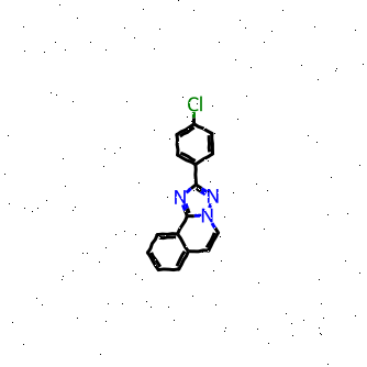 Clc1ccc(-c2nc3c4ccccc4ccn3n2)cc1